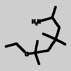 CCOC(C)(C)CC(C)(C)CC(C)N